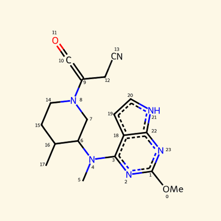 COc1nc(N(C)C2CN(C(=C=O)CC#N)CCC2C)c2cc[nH]c2n1